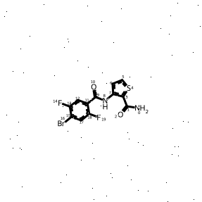 NC(=O)c1sccc1NC(=O)c1cc(F)c(Br)cc1F